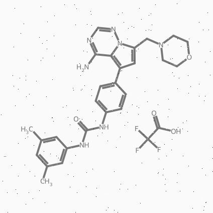 Cc1cc(C)cc(NC(=O)Nc2ccc(-c3cc(CN4CCOCC4)n4ncnc(N)c34)cc2)c1.O=C(O)C(F)(F)F